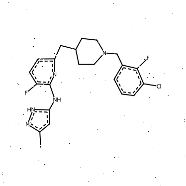 Cc1cc(Nc2nc(CC3CCN(Cc4cccc(Cl)c4F)CC3)ccc2F)[nH]n1